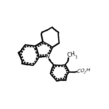 Cc1c(C(=O)O)cccc1-n1c2c(c3ccccc31)CCCC2